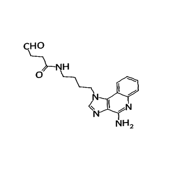 Nc1nc2ccccc2c2c1ncn2CCCCNC(=O)CCC=O